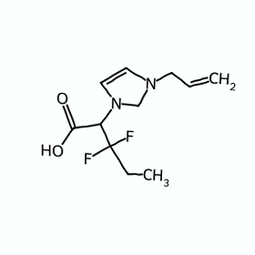 C=CCN1C=CN(C(C(=O)O)C(F)(F)CC)C1